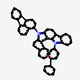 c1ccc(-c2ccc(-n3c4ccccc4c4ccc5c(c6c7ccccc7ccc6n5-c5ccc6c7c(cccc57)-c5ccccc5-6)c43)cc2)cc1